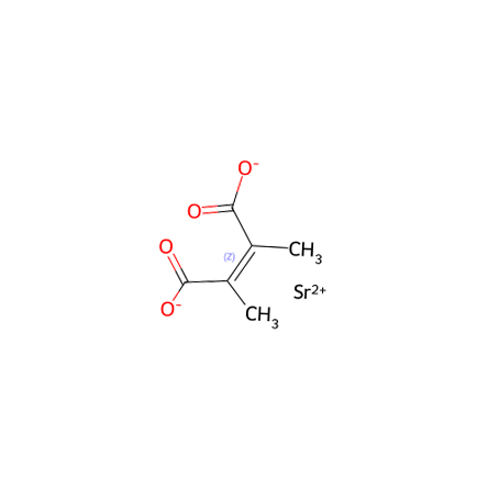 C/C(C(=O)[O-])=C(\C)C(=O)[O-].[Sr+2]